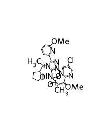 COc1cccc(-c2nnc(NS(=O)(=O)[C@@H](C)[C@H](OC)c3ncc(Cl)cn3)n2[C@@H](C)C2CCCO2)n1